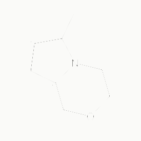 CC1CCC2COCCN12